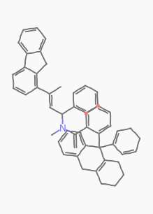 C=C(c1ccccc1C1(C2=CCCC=C2)C2=C(CCCC2)Cc2ccccc21)N(C)C(/C=C(\C)c1cccc2c1Cc1ccccc1-2)c1ccccc1